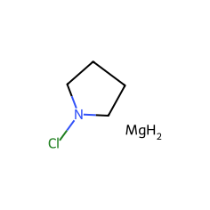 ClN1CCCC1.[MgH2]